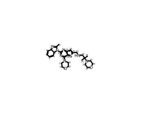 CC1=NC2C=CC=CC2N1c1nc(N2CCOCC2)c2sc(CNCC(C)(C)N3CCOCC3)cc2n1